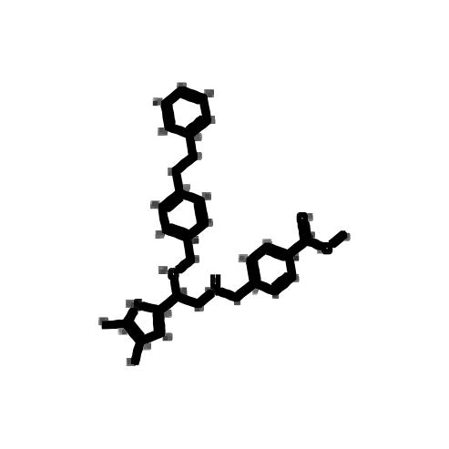 COC(=O)c1ccc(CNCC(OCc2ccc(CCc3ccccc3)cc2)c2cc(C)c(C)s2)cc1